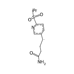 CC(C)S(=O)(=O)c1ccc([CH]CCC(N)=O)cn1